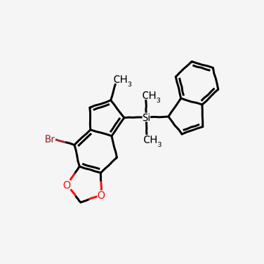 CC1=CC2=C(Br)C3=C(CC2=C1[Si](C)(C)C1C=Cc2ccccc21)OCO3